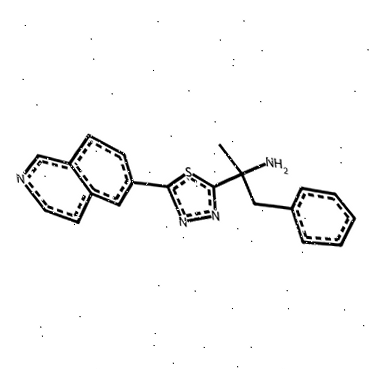 CC(N)(Cc1ccccc1)c1nnc(-c2ccc3cnccc3c2)s1